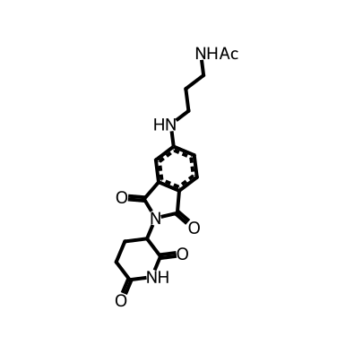 CC(=O)NCCCNc1ccc2c(c1)C(=O)N(C1CCC(=O)NC1=O)C2=O